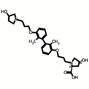 Cc1c(OCCCN2CCC(O)C2)cccc1-c1cccc(OCCCN2C[C@H](O)C[C@H]2C(=O)O)c1C